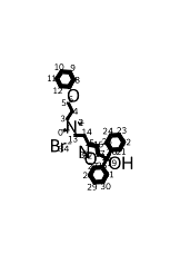 C[N+](C)(CCCOc1ccccc1)CCc1cc(C(O)(c2ccccc2)c2ccccc2)on1.[Br-]